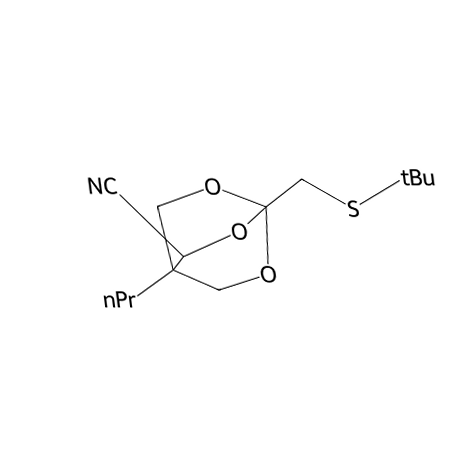 CCCC12COC(CSC(C)(C)C)(OC1)OC2C#N